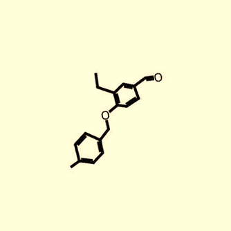 CCc1cc(C=O)ccc1OCc1ccc(C)cc1